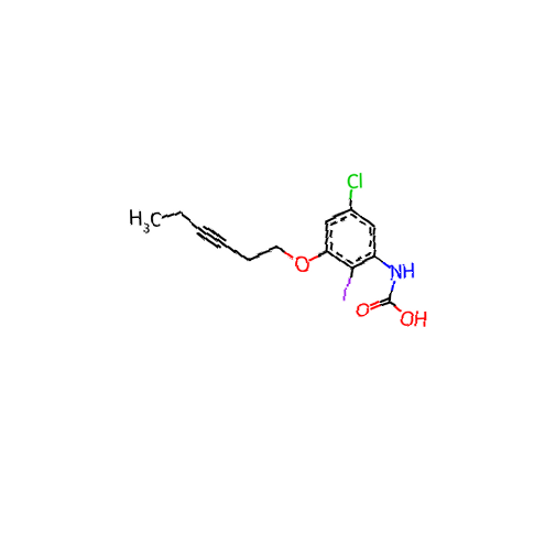 CCC#CCCOc1cc(Cl)cc(NC(=O)O)c1I